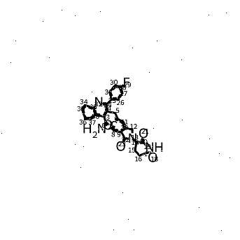 NC(=O)c1c(Cc2ccc3c(c2)CN(C2CCC(=O)NC2=O)C3=O)c(-c2ccc(F)cc2)nc2ccccc12